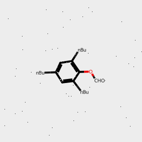 CCCCc1cc(CCCC)c(O[C]=O)c(CCCC)c1